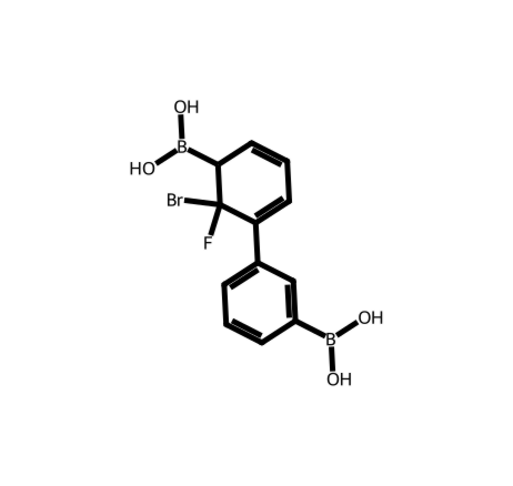 OB(O)c1cccc(C2=CC=CC(B(O)O)C2(F)Br)c1